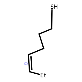 CC/C=C\CCCS